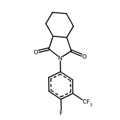 O=C1C2CCCCC2C(=O)N1c1ccc(F)c(C(F)(F)F)c1